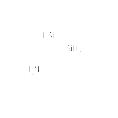 CCC(N)[SiH2][SiH3]